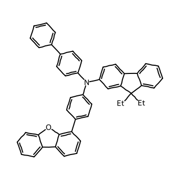 CCC1(CC)c2ccccc2-c2ccc(N(c3ccc(-c4ccccc4)cc3)c3ccc(-c4cccc5c4oc4ccccc45)cc3)cc21